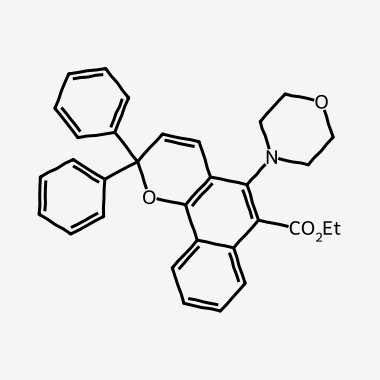 CCOC(=O)c1c(N2CCOCC2)c2c(c3ccccc13)OC(c1ccccc1)(c1ccccc1)C=C2